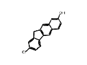 Oc1ccc2cc3c(cc2c1)Cc1cc(Cl)ccc1-3